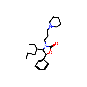 CCCC(CC)C1C(c2ccccc2)OC(=O)N1CCCN1CCCCC1